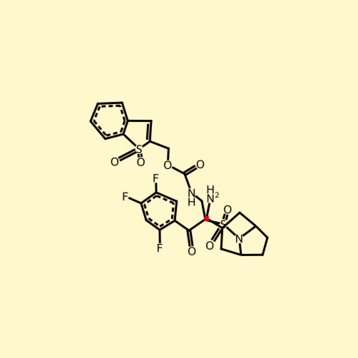 NC(C(=O)c1cc(F)c(F)cc1F)C1CC2CCC(C1)N2S(=O)(=O)CCNC(=O)OCC1=Cc2ccccc2S1(=O)=O